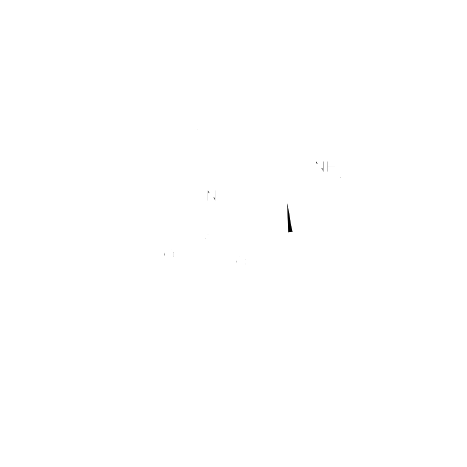 C[C@H](N)C1CCCN1C(=O)OC(C)(C)C